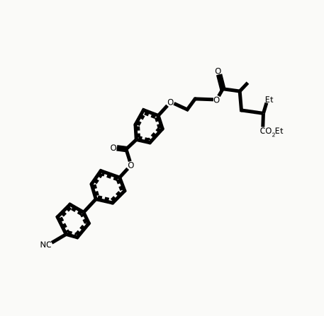 CCOC(=O)C(CC)CC(C)C(=O)OCCOc1ccc(C(=O)Oc2ccc(-c3ccc(C#N)cc3)cc2)cc1